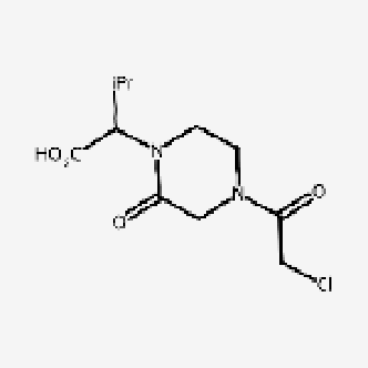 CC(C)C(C(=O)O)N1CCN(C(=O)CCl)CC1=O